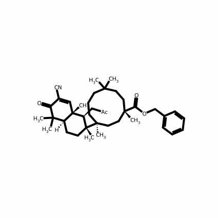 CC(=O)C[C@@H]1[C@@]2(C)C=C(C#N)C(=O)C(C)(C)[C@@H]2CC[C@@]1(C)[C@@]1(C)CCCC(C)(C)CC[C@](C)(C(=O)OCc2ccccc2)CC1